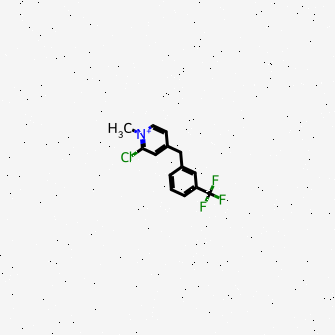 C[n+]1ccc(Cc2cccc(C(F)(F)F)c2)cc1Cl